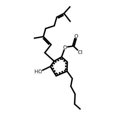 CCCCCc1cc(O)c(C/C=C(\C)CCC=C(C)C)c(OC(=O)Cl)c1